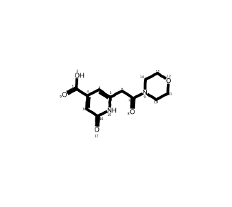 O=C(O)c1cc(CC(=O)N2CCOCC2)[nH]c(=O)c1